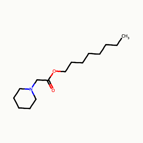 CCCCCCCCOC(=O)CN1CCCCC1